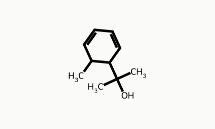 CC1C=CC=CC1C(C)(C)O